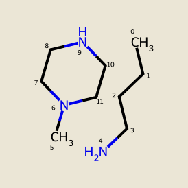 CCCCN.CN1CCNCC1